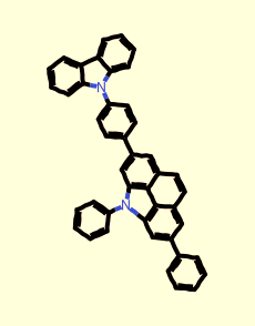 c1ccc(-c2cc3ccc4cc(-c5ccc(-n6c7ccccc7c7ccccc76)cc5)cc5c4c3c(c2)n5-c2ccccc2)cc1